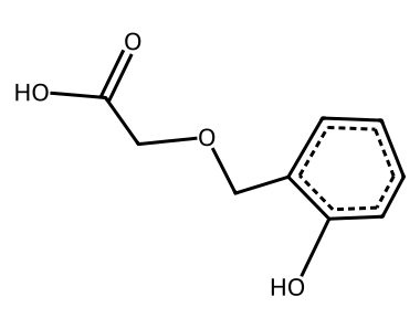 O=C(O)COCc1ccccc1O